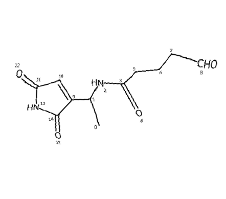 CC(NC(=O)CCCC=O)C1=CC(=O)NC1=O